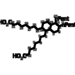 CCCCCC1CCC2C(CCCCCCCC(=O)O)C(CCCCCCCC(=O)O)CCC2C1CCCCC